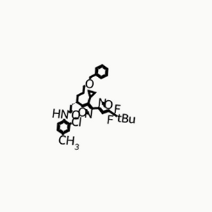 Cc1ccc(NC(=O)C[C@H](CCCOCc2ccccc2)c2onc(-c3cc(C(F)(F)C(C)(C)C)on3)c2C2CC2)c(Cl)c1